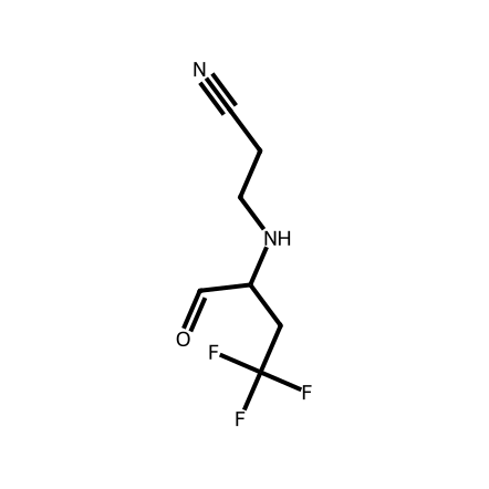 N#CCCNC(C=O)CC(F)(F)F